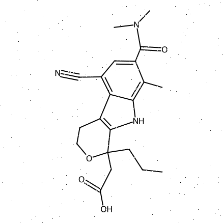 CCCC1(CC(=O)O)OCCc2c1[nH]c1c(C)c(C(=O)N(C)C)cc(C#N)c21